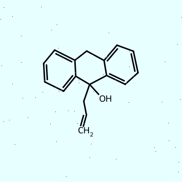 C=CCC1(O)c2ccccc2Cc2ccccc21